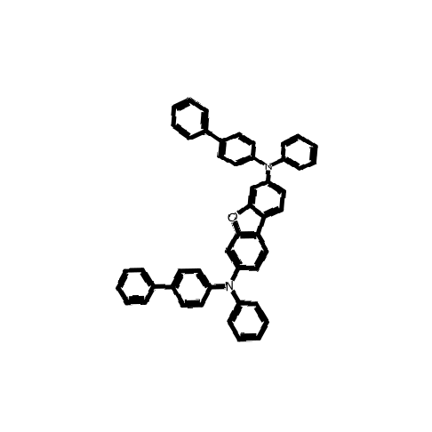 c1ccc(-c2ccc(N(c3ccccc3)c3ccc4c(c3)oc3cc(N(c5ccccc5)c5ccc(-c6ccccc6)cc5)ccc34)cc2)cc1